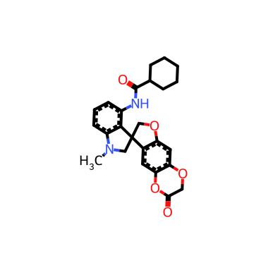 CN1CC2(COc3cc4c(cc32)OC(=O)CO4)c2c(NC(=O)C3CCCCC3)cccc21